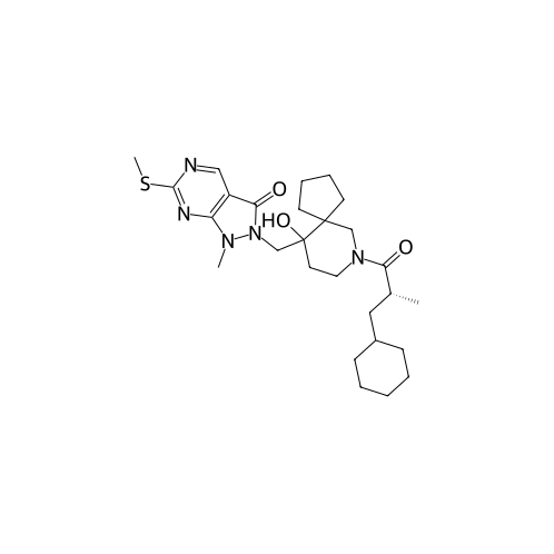 CSc1ncc2c(=O)n(CC3(O)CCN(C(=O)[C@H](C)CC4CCCCC4)CC34CCCC4)n(C)c2n1